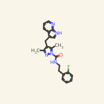 Cc1nn(C(=O)NCCc2ccccc2F)c(C)c1Cc1c[nH]c2ncccc12